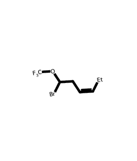 CC/C=C\CC(Br)OC(F)(F)F